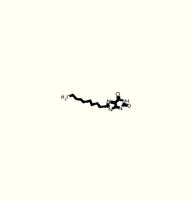 CCCCCCCCCC1=NC2=NC(=O)NC(=O)C2=N1